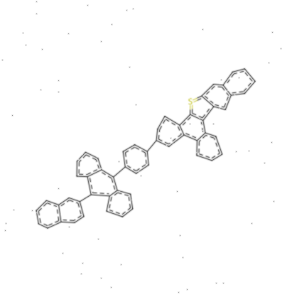 c1ccc2cc(-c3c4ccccc4c(-c4ccc(-c5ccc6c(c5)c5ccccc5c5c7cc8ccccc8cc7sc65)cc4)c4ccccc34)ccc2c1